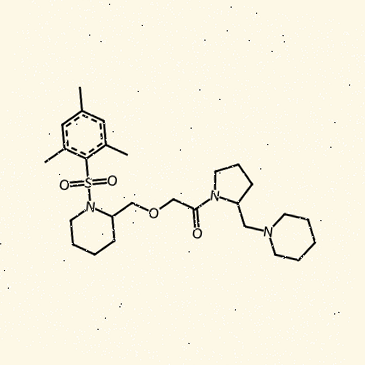 Cc1cc(C)c(S(=O)(=O)N2CCCCC2COCC(=O)N2CCCC2CN2CCCCC2)c(C)c1